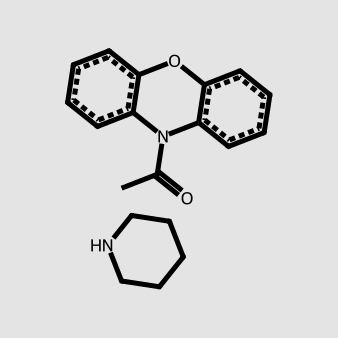 C1CCNCC1.CC(=O)N1c2ccccc2Oc2ccccc21